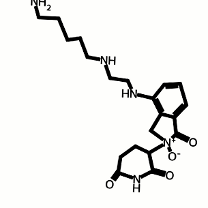 NCCCCCNCCNc1cccc2c1C[N+]([O-])(C1CCC(=O)NC1=O)C2=O